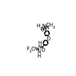 CN=S(N)(=O)c1ccc(Oc2ccc(C(=O)NC(=N)NC(F)(F)F)cc2)cc1